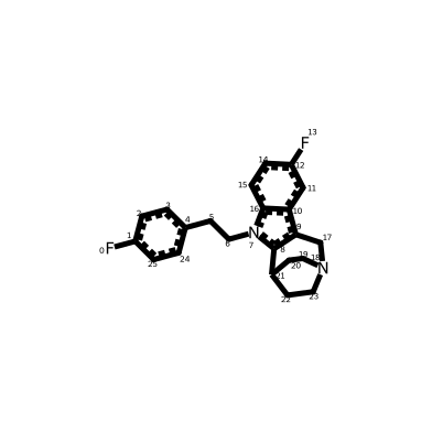 Fc1ccc(CCn2c3c(c4cc(F)ccc42)CN2CCC3CC2)cc1